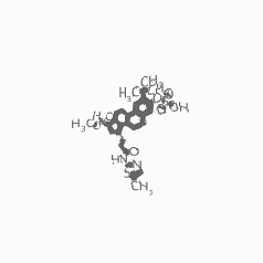 CON=C1C[C@@H](CCC(=O)Nc2ncc(C)s2)C2C3CCc4cc(OS(=O)(=O)O)c(C(C)(C)C)cc4C3CC[C@]12C